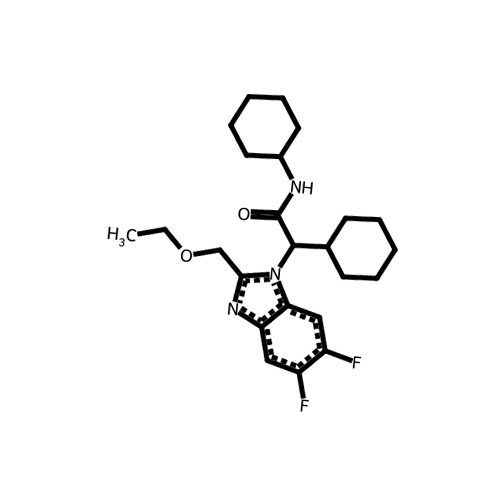 CCOCc1nc2cc(F)c(F)cc2n1C(C(=O)NC1CCCCC1)C1CCCCC1